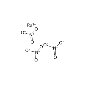 O=[N+]([O-])[O-].O=[N+]([O-])[O-].O=[N+]([O-])[O-].[Ru+3]